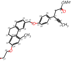 CC#CC(CC(=O)OC)c1ccc(OCc2ccc3c(c2)-c2c(C)cc(OCCOCC)cc2CC3)cc1